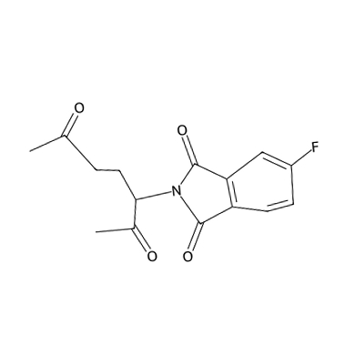 CC(=O)CCC(C(C)=O)N1C(=O)c2ccc(F)cc2C1=O